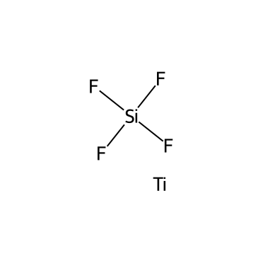 F[Si](F)(F)F.[Ti]